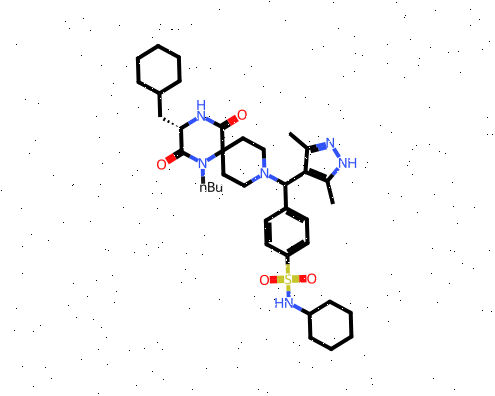 CCCCN1C(=O)[C@H](CC2CCCCC2)NC(=O)C12CCN(C(c1ccc(S(=O)(=O)NC3CCCCC3)cc1)c1c(C)n[nH]c1C)CC2